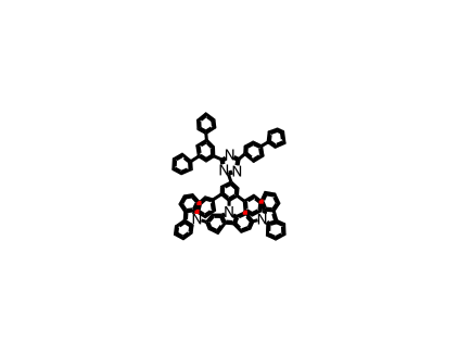 c1ccc(-c2ccc(-c3nc(-c4cc(-c5ccccc5)cc(-c5ccccc5)c4)nc(-c4cc(-c5ccccc5)c(-n5c6cc(-n7c8ccccc8c8ccccc87)ccc6c6ccc(-n7c8ccccc8c8ccccc87)cc65)c(-c5ccccc5)c4)n3)cc2)cc1